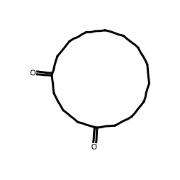 O=C1CCCCCCCCCCCC(=O)CCC1